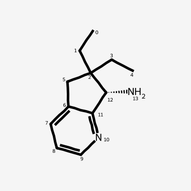 CCC1(CC)Cc2cccnc2[C@H]1N